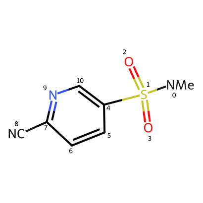 CNS(=O)(=O)c1ccc(C#N)nc1